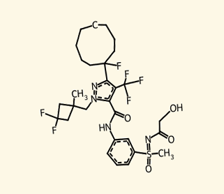 CC1(Cn2nc(C3(F)CCCCCCCC3)c(C(F)(F)F)c2C(=O)Nc2cccc(S(C)(=O)=NC(=O)CO)c2)CC(F)(F)C1